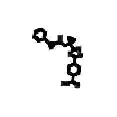 O=C(O)C1CCC(c2nc(C3(CNC4CC4c4ccccc4)CC3)no2)CC1